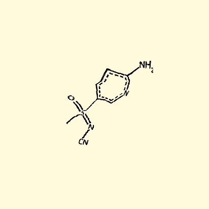 CS(=O)(=NC#N)c1ccc(N)nc1